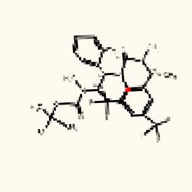 Cc1ccccc1[C@H]1[C@H](N(C)C(=O)OC(C)(C)C)CCCN1C(=O)N(C)[C@H](C)c1cc(C(F)(F)F)cc(C(F)(F)F)c1